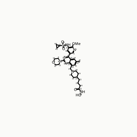 COc1ncc(-c2nc(N3CCOCC3)nc3c(CN4CCC(CCCC(=O)NO)CC4)cc(F)cc23)cc1NS(=O)(=O)C1CC1